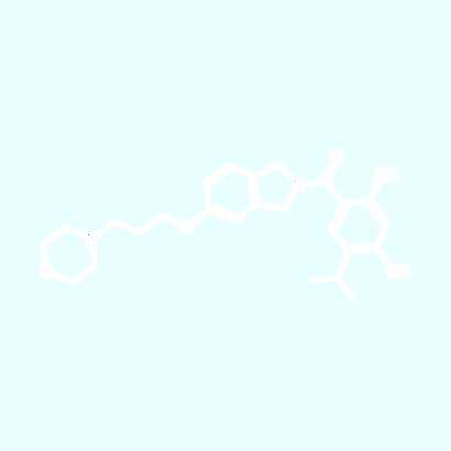 CC(C)c1cc(C(=O)N2Cc3ccc(OCCCN4CCOCC4)cc3C2)c(O)cc1O